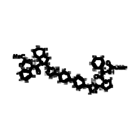 COC(=O)N[C@@H](C(=O)N1CCCC1c1ncc(-c2ccc(-c3ccc(-c4cnc([C@@H]5CC6CCCCC6N5C(=O)[C@H](NC(=O)OC)c5ccccc5)[nH]4)cc3)cc2)[nH]1)c1ccccc1